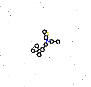 c1ccc(-c2ccc(N(c3ccc(-c4ccc5c(c4)c(-c4ccccc4)c(-c4ccccc4)c4ccccc45)cc3)c3ccc4c(c3)sc3ccccc34)cc2)cc1